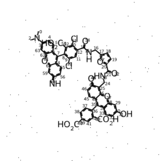 CN(C)c1ccc2c(-c3c(Cl)cc(C(=O)NCc4ccc(C(=O)NCc5c6oc7cc(O)ccc7c(-c7ccc(C(=O)O)cc7C(=O)O)c-6ccc5=O)o4)c(Cl)c3C(=O)O)c3ccc(=N)cc-3oc2c1